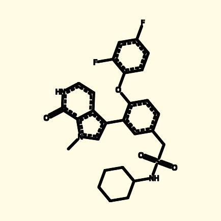 Cn1cc(-c2cc(CS(=O)(=O)NC3CCCCC3)ccc2Oc2ccc(F)cc2F)c2cc[nH]c(=O)c21